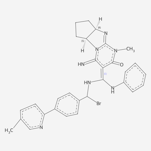 Cc1ccc(-c2ccc(C(Br)N/C(Nc3ccccc3)=c3/c(=O)n(C)c4n(c3=N)[C@H]3CCC[C@H]3N=4)cc2)nc1